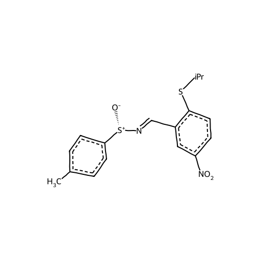 Cc1ccc([S@+]([O-])N=Cc2cc([N+](=O)[O-])ccc2SC(C)C)cc1